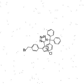 Clc1cc(-c2ccc(CBr)cc2)c(-c2nnnn2C(c2ccccc2)(c2ccccc2)c2ccccc2)s1